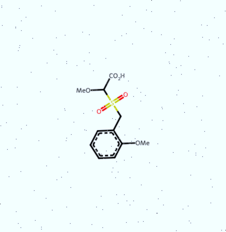 COc1ccccc1CS(=O)(=O)C(OC)C(=O)O